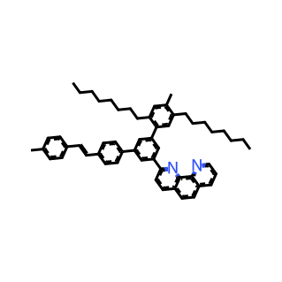 CCCCCCCCc1cc(-c2cc(-c3ccc(/C=C/c4ccc(C)cc4)cc3)cc(-c3ccc4ccc5cccnc5c4n3)c2)c(CCCCCCCC)cc1C